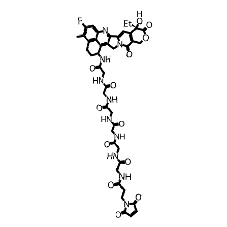 CC[C@@]1(O)C(=O)OCc2c1cc1n(c2=O)Cc2c-1nc1cc(F)c(C)c3c1c2C(NC(=O)CNC(=O)CNC(=O)CNC(=O)CNC(=O)CNC(=O)CNC(=O)CCN1C(=O)C=CC1=O)CC3